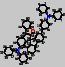 c1ccc(N(c2ccccc2)c2ccc(-c3ccc4c(c3)C3(c5ccccc5-4)c4cc(N(c5ccccc5)c5ccccc5)ccc4-c4c3oc3ccccc43)cc2)cc1